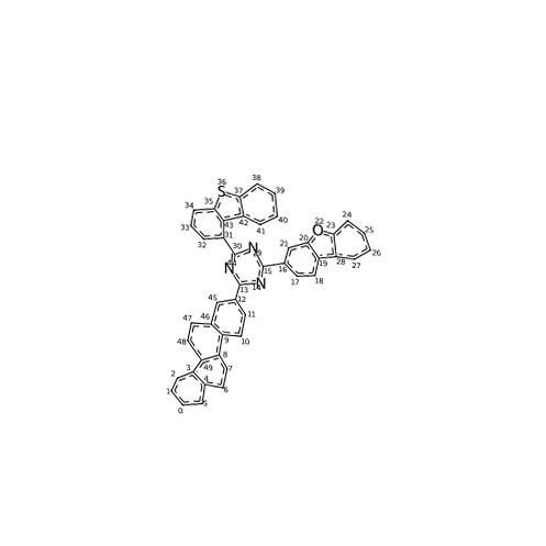 c1ccc2c(c1)ccc1c3ccc(-c4nc(-c5ccc6c(c5)oc5ccccc56)nc(-c5cccc6sc7ccccc7c56)n4)cc3ccc21